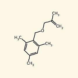 C=C(C)COCc1c(C)cc(C)cc1C